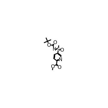 COC(=O)c1ccc(S(C)(=O)=NC(=O)OC(C)(C)C)cn1